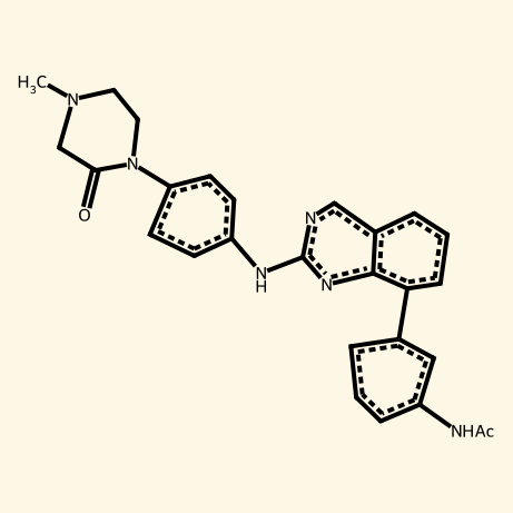 CC(=O)Nc1cccc(-c2cccc3cnc(Nc4ccc(N5CCN(C)CC5=O)cc4)nc23)c1